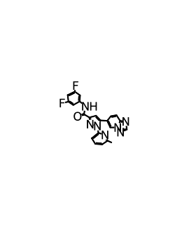 Cc1cccc(-n2nc(C(=O)Nc3cc(F)cc(F)c3)cc2-c2ccc3ncnn3c2)n1